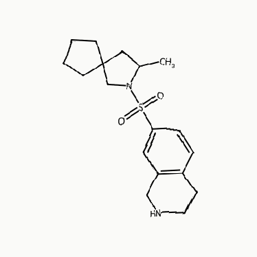 CC1CC2(CCCC2)CN1S(=O)(=O)c1ccc2c(c1)CNCC2